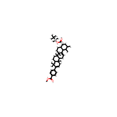 COC(=O)c1ccc(C2=CCC3(C)C(CCC4(C)C3CC=C3C5C(C)C(C)C[C@@H](C(=O)O[Si](C)(C)C(C)(C)C)C5CCC34C)C2(C)C)cc1